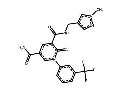 Cn1cc(CNC(=O)c2cc(C(N)=O)cn(-c3cccc(C(F)(F)F)c3)c2=O)cn1